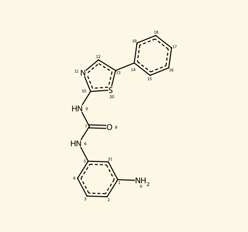 Nc1cccc(NC(=O)Nc2ncc(-c3ccccc3)s2)c1